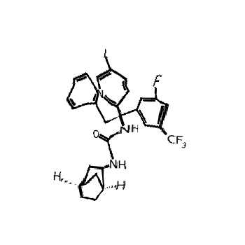 O=C(N[C@@H]1C[C@@H]2CC[C@H]1C2)N[C@@](Cc1ccccc1)(c1cc(F)cc(C(F)(F)F)c1)c1ccc(I)cn1